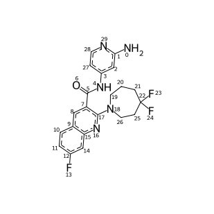 Nc1cc(NC(=O)c2cc3ccc(F)cc3nc2N2CCCC(F)(F)CC2)ccn1